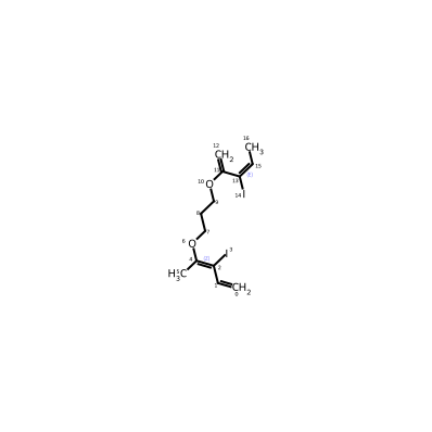 C=C/C(I)=C(\C)OCCCOC(=C)/C(I)=C\C